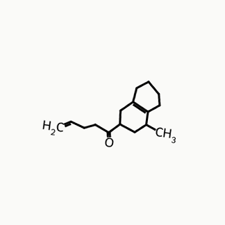 C=CCCC(=O)C1CC2=C(CCCC2)C(C)C1